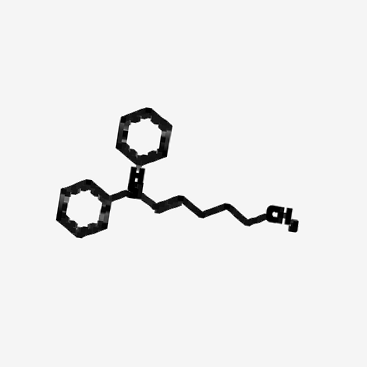 CCCCC=C[SiH](c1ccccc1)c1ccccc1